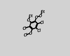 CCOOc1c(Cl)c(Cl)c(OCl)c(Cl)c1OCC